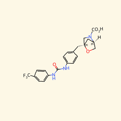 O=C(Nc1ccc(C[C@]23C[C@H](CO2)N(C(=O)O)C3)cc1)Nc1ccc(C(F)(F)F)cc1